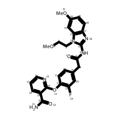 COCCn1c(NC(=O)Cc2ccc(Oc3ncccc3C(N)=O)c(F)c2)nc2ccc(OC)cc21